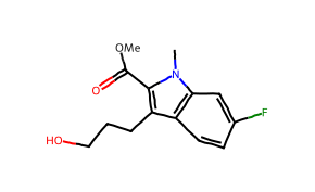 COC(=O)c1c(CCCO)c2ccc(F)cc2n1C